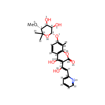 CO[C@@H]1[C@@H](O)[C@@H](O)[C@H](Oc2ccc3c(O)c(/C(O)=C/c4ccccn4)c(=O)oc3c2C)OC1(C)C